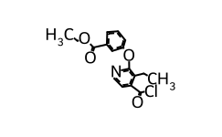 CCOC(=O)c1cccc(Oc2nccc(C(=O)Cl)c2CC)c1